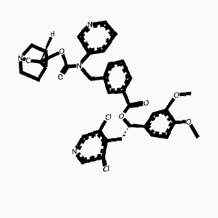 COc1ccc([C@H](Cc2c(Cl)cncc2Cl)OC(=O)c2cccc(CN(C(=O)O[C@H]3CN4CCC3CC4)c3cccnc3)c2)cc1OC